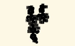 CCc1c(-c2ccc3[nH]ncc3c2)[nH]c(=O)c(C(=O)O)c1O.CCc1c(-c2ccc3cn[nH]c3c2)[nH]c(=O)c(C(=O)O)c1O.CCc1c(-c2ccc3nn(C)cc3c2)[nH]c(=O)c(C(=O)O)c1O